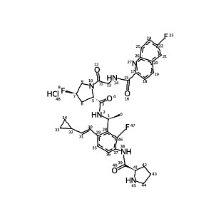 C[C@H](NC(=O)[C@@H]1C[C@@H](F)CN1C(=O)CNC(=O)c1ccc2cc(F)ccc2n1)c1c(/C=C/C2CC2)ccc(NC(=O)[C@H]2CCCN2)c1F.Cl